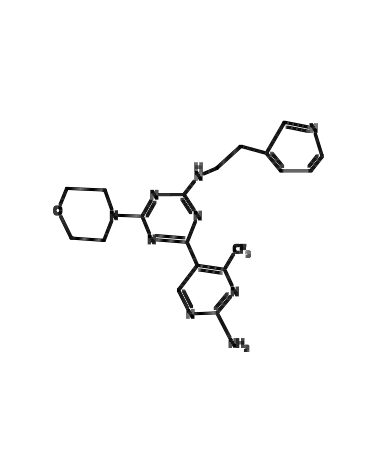 Nc1ncc(-c2nc(NCCc3cccnc3)nc(N3CCOCC3)n2)c(C(F)(F)F)n1